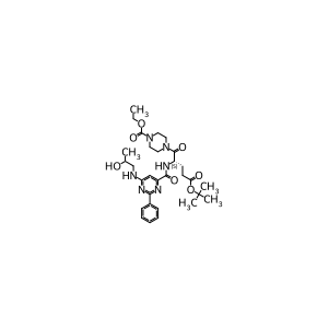 CCOC(=O)N1CCN(C(=O)[C@H](CCC(=O)OC(C)(C)C)NC(=O)c2cc(NCC(C)O)nc(-c3ccccc3)n2)CC1